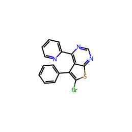 Brc1sc2ncnc(-c3ccccn3)c2c1-c1ccccc1